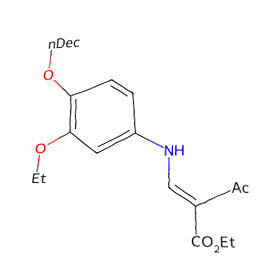 CCCCCCCCCCOc1ccc(N/C=C(\C(C)=O)C(=O)OCC)cc1OCC